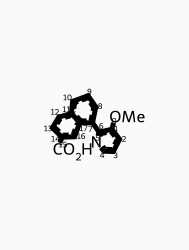 COc1cccnc1-c1cccc2ccc(C(=O)O)cc12